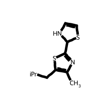 Cc1nc(C2NC=CS2)sc1CC(C)C